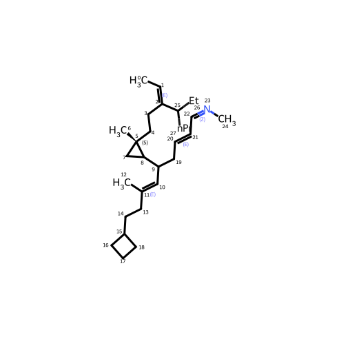 C/C=C(\CC[C@@]1(C)CC1C(/C=C(\C)CCC1CCC1)C/C=C/C=N\C)C(CC)CCC